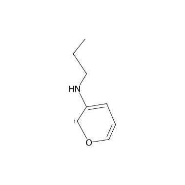 CCCNC1=CC=CO[C]1